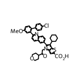 COc1ccc(-c2ccc(Cl)cc2)c(-c2ccc3cc(-c4c(C5CCCCC5)c5sc(C(=O)O)cc5n4CC(=O)C4CCOCC4)ccc3n2)c1